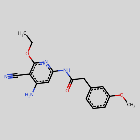 CCOc1nc(NC(=O)Cc2cccc(OC)c2)cc(N)c1C#N